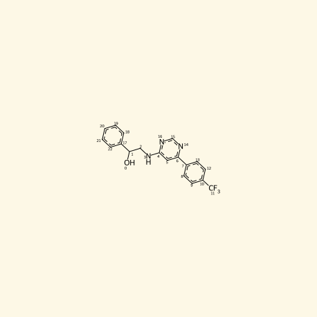 OC(CNc1cc(-c2ccc(C(F)(F)F)cc2)ncn1)c1ccccc1